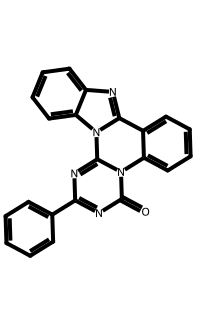 O=c1nc(-c2ccccc2)nc2n1c1ccccc1c1nc3ccccc3n12